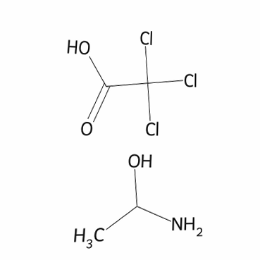 CC(N)O.O=C(O)C(Cl)(Cl)Cl